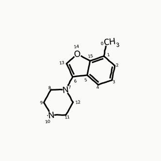 Cc1cccc2c(N3CC[N]CC3)coc12